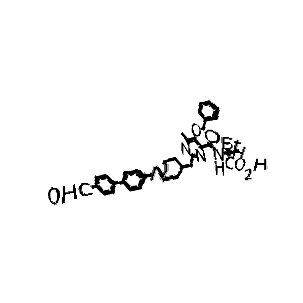 [2H]C(CC)(NC(=O)c1nc(CC2CCN(c3ccc(-c4ccc(C=O)cc4)cc3)CC2)nc(C)c1OCc1ccccc1)C(=O)O